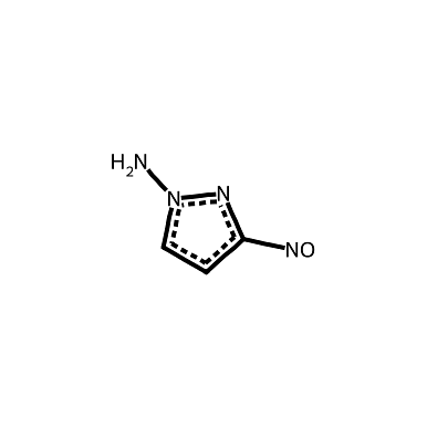 Nn1ccc(N=O)n1